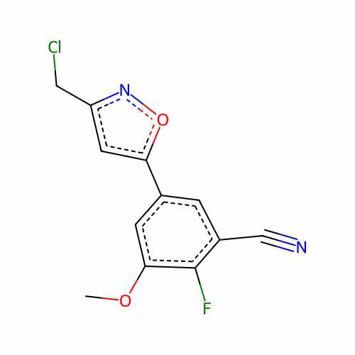 COc1cc(-c2cc(CCl)no2)cc(C#N)c1F